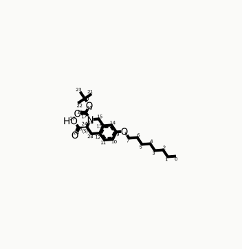 CCCCCCCCOc1ccc2c(c1)CN(C(=O)OC(C)(C)C)[C@H](C(=O)O)C2